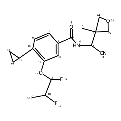 CC1(C(C#N)NC(=O)c2ccc(C3CC3)c(OC(F)C(F)F)c2)COC1